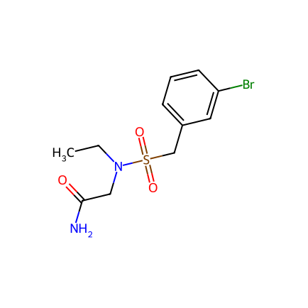 CCN(CC(N)=O)S(=O)(=O)Cc1cccc(Br)c1